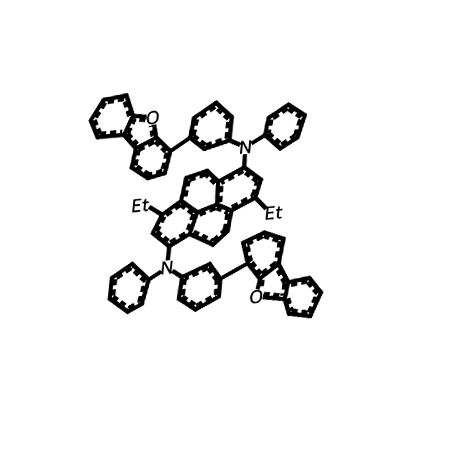 CCc1cc(N(c2ccccc2)c2cccc(-c3cccc4c3oc3ccccc34)c2)c2ccc3c(CC)cc(N(c4ccccc4)c4cccc(-c5cccc6c5oc5ccccc56)c4)c4ccc1c2c34